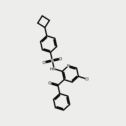 O=C(c1ccccc1)c1cc(Cl)cnc1NS(=O)(=O)c1ccc(C2CCC2)cc1